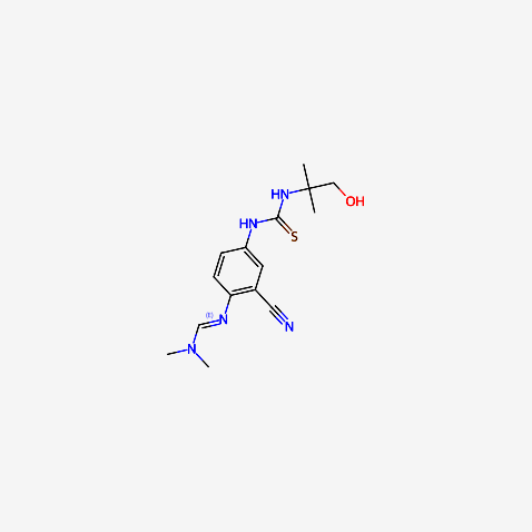 CN(C)/C=N/c1ccc(NC(=S)NC(C)(C)CO)cc1C#N